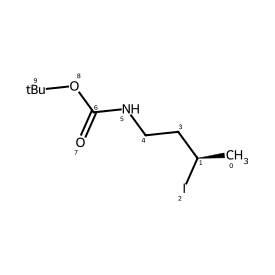 C[C@@H](I)CCNC(=O)OC(C)(C)C